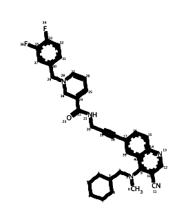 CN(CC1CCCCC1)c1c(C#N)cnc2ccc(C#CCNC(=O)C3=CC=CN(Cc4ccc(F)c(F)c4)C3)cc12